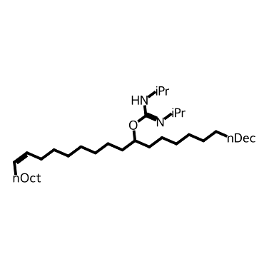 CCCCCCCC/C=C\CCCCCCCC(CCCCCCCCCCCCCCCC)OC(=NC(C)C)NC(C)C